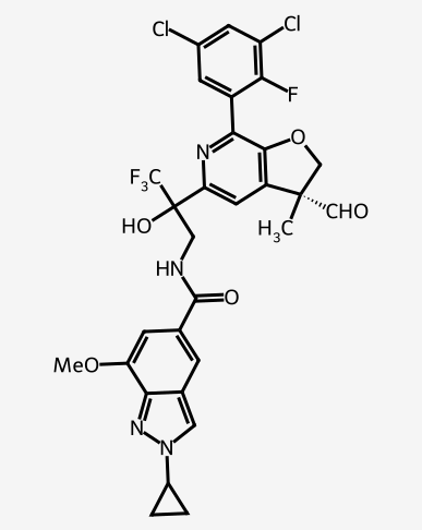 COc1cc(C(=O)NCC(O)(c2cc3c(c(-c4cc(Cl)cc(Cl)c4F)n2)OC[C@]3(C)C=O)C(F)(F)F)cc2cn(C3CC3)nc12